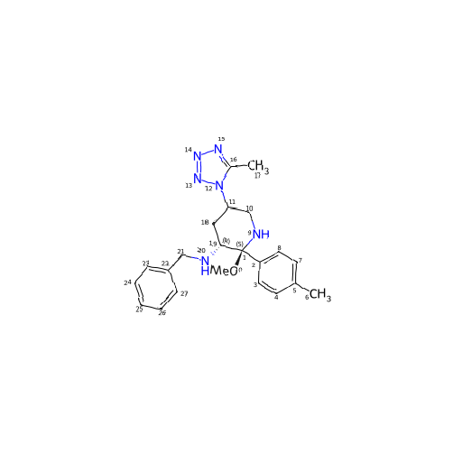 CO[C@]1(c2ccc(C)cc2)NCC(n2nnnc2C)C[C@H]1NCc1ccccc1